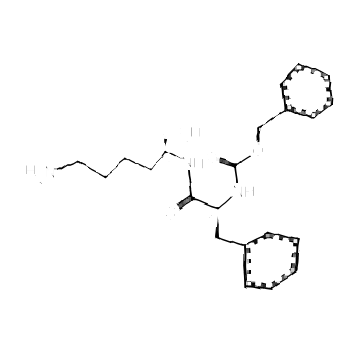 NCCCC[C@H](NC(=O)[C@H](Cc1ccccc1)NC(=O)OCc1ccccc1)C(=O)O